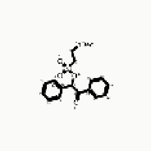 CCCCCCCCCCCCS(=O)(=O)OC(C(=O)c1ccccc1)c1ccccc1